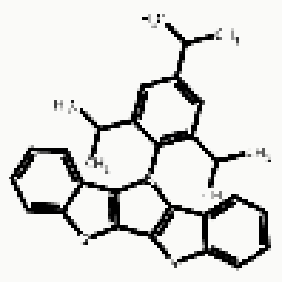 CC(C)c1cc(C(C)C)c(B2c3c(sc4ccccc34)-c3sc4ccccc4c32)c(C(C)C)c1